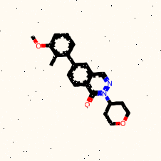 COc1cccc(-c2ccc3c(=O)n(C4CCOCC4)ncc3c2)c1C